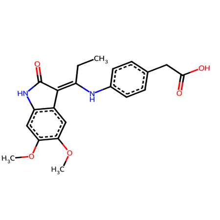 CC/C(Nc1ccc(CC(=O)O)cc1)=C1\C(=O)Nc2cc(OC)c(OC)cc21